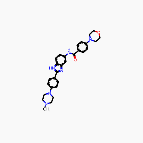 CN1CCN(c2ccc(-c3nc4cc(NC(=O)c5ccc(N6CCOCC6)cc5)ccc4[nH]3)cc2)CC1